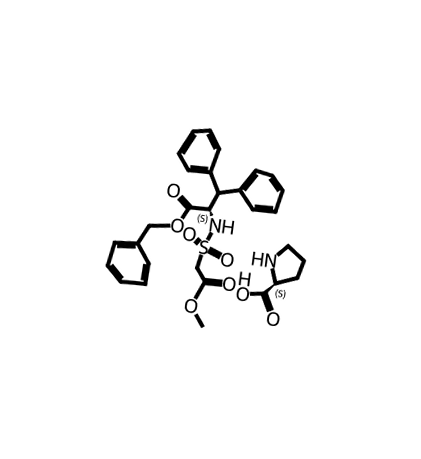 COC(=O)CS(=O)(=O)N[C@H](C(=O)OCc1ccccc1)C(c1ccccc1)c1ccccc1.O=C(O)[C@@H]1CCCN1